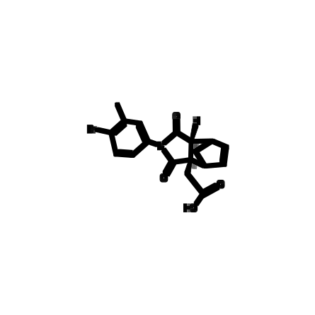 Cc1cc(N2C(=O)[C@@H]3C4C=CC(C4)[C@]3(CC(=O)O)C2=O)ccc1Br